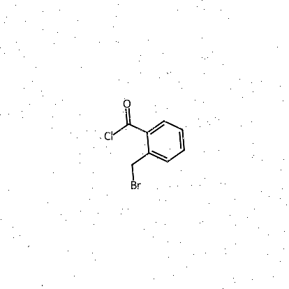 O=C(Cl)c1ccccc1CBr